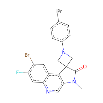 CC(C)c1ccc(N2CC3(C2)C(=O)N(C)c2cnc4cc(F)c(Br)cc4c23)cc1